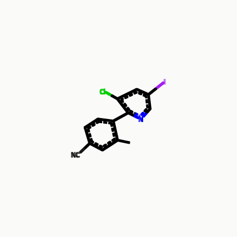 Cc1cc(C#N)ccc1-c1ncc(I)cc1Cl